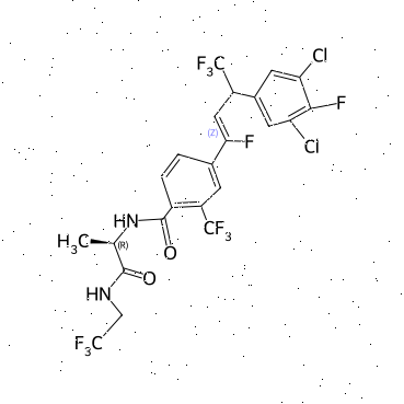 C[C@@H](NC(=O)c1ccc(/C(F)=C/C(c2cc(Cl)c(F)c(Cl)c2)C(F)(F)F)cc1C(F)(F)F)C(=O)NCC(F)(F)F